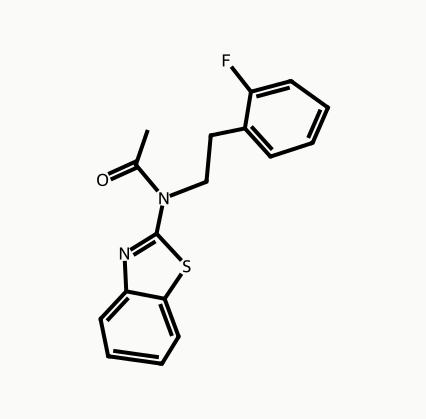 CC(=O)N(CCc1ccccc1F)c1nc2ccccc2s1